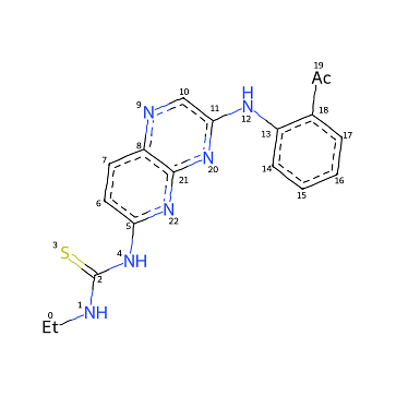 CCNC(=S)Nc1ccc2ncc(Nc3ccccc3C(C)=O)nc2n1